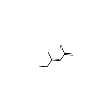 C=C(F)/C=C(\C)CC